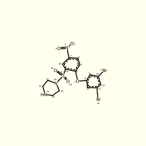 O=[N+]([O-])c1ccc(Oc2cc(Br)cc(Br)c2)c(S(=O)(=O)N2CCNCC2)c1